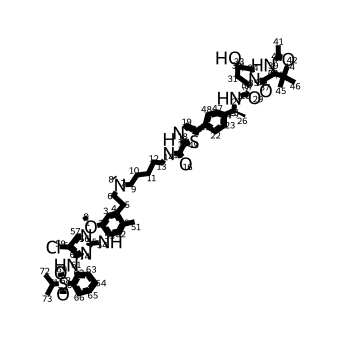 COc1cc(CCN(C)CCCCCNC(=O)c2ncc(-c3ccc([C@H](C)NC(=O)[C@@H]4C[C@@H](O)CN4C(=O)[C@@H](NC(C)=O)C(C)(C)C)cc3)s2)c(C)cc1Nc1ncc(Cl)c(Nc2ccccc2S(=O)(=O)C(C)C)n1